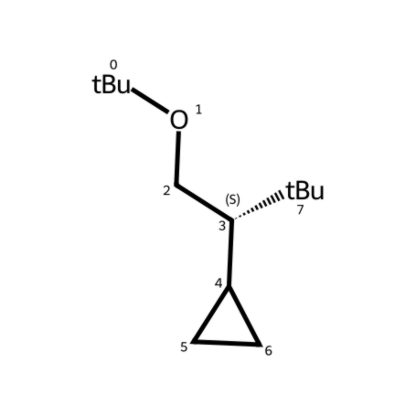 CC(C)(C)OC[C@@H](C1CC1)C(C)(C)C